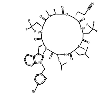 CC(C)C[C@@H]1NC(=O)[C@H](CC(C)C)N(C)C(=O)[C@H](CC(F)(F)F)NC(=O)[C@@H](CCC#N)OC(=O)[C@H](C)N(C)C(=O)[C@H](CC(F)(F)F)NC(=O)[C@H](Cc2cn(Cc3ccc(Br)cc3)c3ccccc23)N(C)C1=O